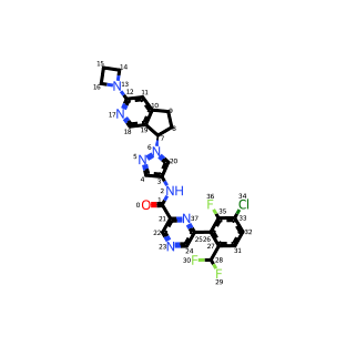 O=C(Nc1cnn([C@@H]2CCc3cc(N4CCC4)ncc32)c1)c1cncc(-c2c(C(F)F)ccc(Cl)c2F)n1